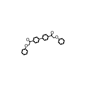 O=C(COc1ccccc1)c1ccc(-c2ccc(C(=O)COc3ccccc3)cc2)cc1